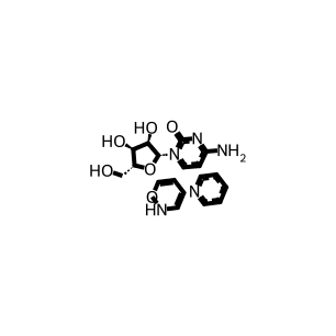 C1=CNOC=C1.Nc1ccn([C@@H]2O[C@H](CO)[C@@H](O)[C@H]2O)c(=O)n1.c1ccncc1